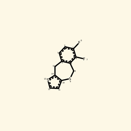 Fc1ccc2c(c1F)CSc1ccsc1[CH]2